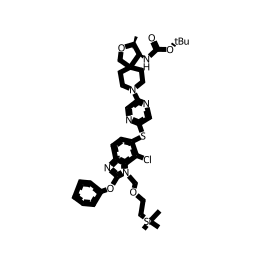 C[C@@H]1OCC2(CCN(c3cnc(Sc4ccc5nc(Oc6ccccc6)n(COCC[Si](C)(C)C)c5c4Cl)cn3)CC2)[C@@H]1NC(=O)OC(C)(C)C